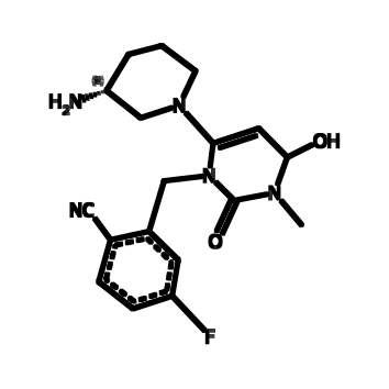 CN1C(=O)N(Cc2cc(F)ccc2C#N)C(N2CCC[C@@H](N)C2)=CC1O